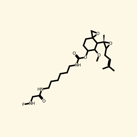 COC1C(OC(=O)NCCCCCCNC(=O)CNF)CCC2(CO2)C1[C@]1(C)OC1CC=C(C)C